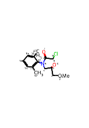 COCC(=O)CN(C(=O)CCl)c1c(C)cccc1C